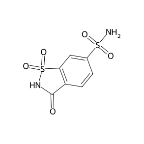 NS(=O)(=O)c1ccc2c(c1)S(=O)(=O)NC2=O